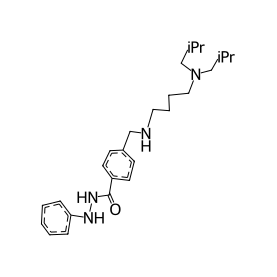 CC(C)CN(CCCCNCc1ccc(C(=O)NNc2ccccc2)cc1)CC(C)C